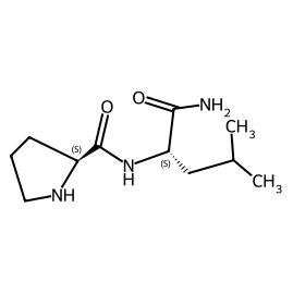 CC(C)C[C@H](NC(=O)[C@@H]1CCCN1)C(N)=O